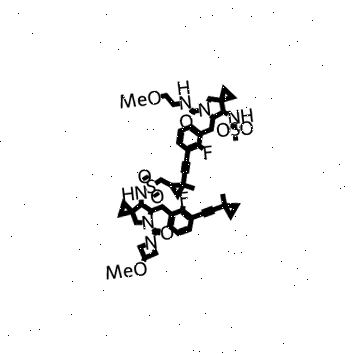 COCCNC(=O)N1CC2(CC2)C(NS(C)(=O)=O)C1Cc1cccc(C#CC2(C)CC2CS(=O)(=O)NC2C(Cc3cccc(C#CC4(C)CC4)c3F)N(C(=O)N3CC(OC)C3)CC23CC3)c1F